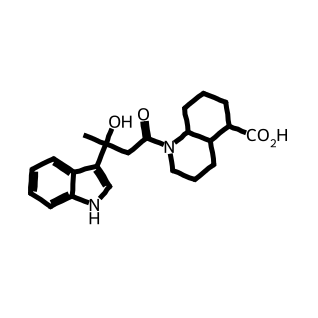 CC(O)(CC(=O)N1CCCC2C(C(=O)O)CCCC21)c1c[nH]c2ccccc12